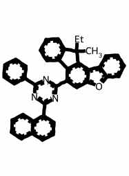 CCC1(C)c2ccccc2-c2c(-c3nc(-c4ccccc4)nc(-c4cccc5ccccc45)n3)cc3oc4ccccc4c3c21